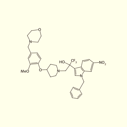 COc1cc(CN2CCOCC2)ccc1OC1CCN(CC(O)(c2cn(Cc3ccccc3)c3cc([N+](=O)[O-])ccc23)C(F)(F)F)CC1